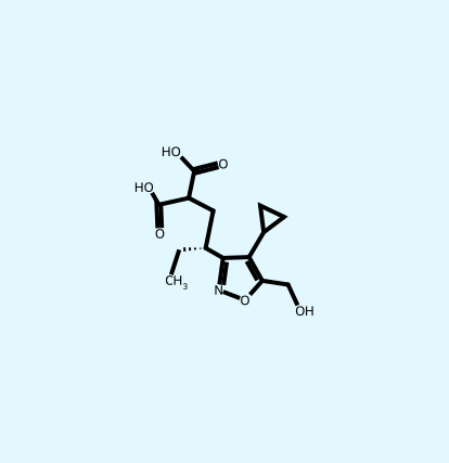 CC[C@H](CC(C(=O)O)C(=O)O)c1noc(CO)c1C1CC1